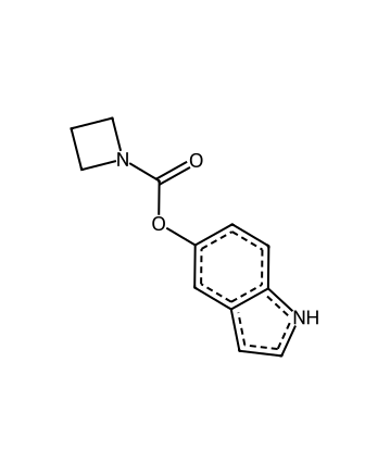 O=C(Oc1ccc2[nH]ccc2c1)N1CCC1